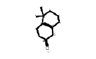 CC1(C)CCCC2=C1CCC(=O)C2